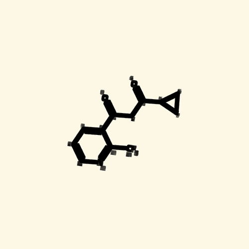 O=C(CC(=O)C1CC1)c1cccnc1C(F)(F)F